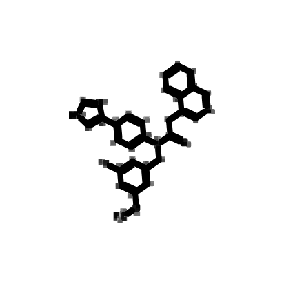 O=C(Cc1cncc2ccccc12)N(Cc1cc(F)cc(OC(F)(F)F)c1)c1ccc(-c2c[nH]cn2)cc1